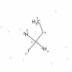 [2H]C([2H])(I)CC